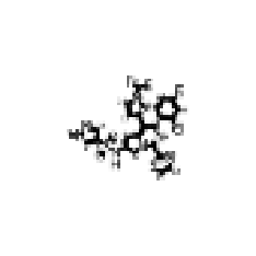 Cn1cc(S(=O)(=O)N[C@H]2CC3=C(c4ccn(C(F)F)n4)[C@H](c4ccc(F)cc4Cl)N=C(c4nccs4)N3C2)cn1